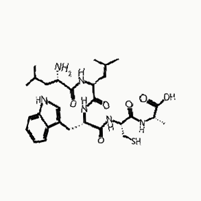 CC(C)C[C@H](NC(=O)[C@@H](N)CC(C)C)C(=O)N[C@@H](Cc1c[nH]c2ccccc12)C(=O)N[C@@H](CS)C(=O)N[C@@H](C)C(=O)O